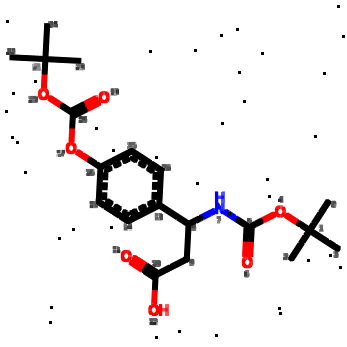 CC(C)(C)OC(=O)NC(CC(=O)O)c1ccc(OC(=O)OC(C)(C)C)cc1